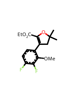 CCOC(=O)C1=C(c2ccc(F)c(F)c2OC)CC(C)(C)O1